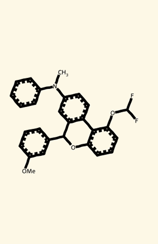 COc1cccc(C2Oc3cccc(OC(F)F)c3-c3ccc(N(C)c4ccccc4)cc32)c1